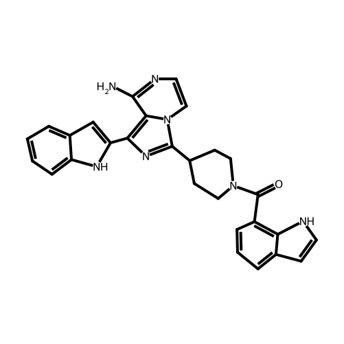 Nc1nccn2c(C3CCN(C(=O)c4cccc5cc[nH]c45)CC3)nc(-c3cc4ccccc4[nH]3)c12